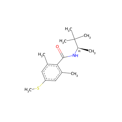 CSc1cc(C)c(C(=O)N[C@H](C)C(C)(C)C)c(C)c1